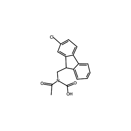 CC(=O)N(CC1c2ccccc2-c2ccc(Cl)cc21)C(=O)O